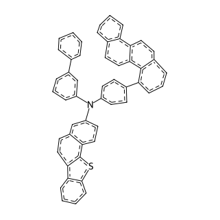 c1ccc(-c2cccc(N(c3ccc(-c4cccc5ccc6c7ccccc7ccc6c45)cc3)c3ccc4c(ccc5c6ccccc6sc45)c3)c2)cc1